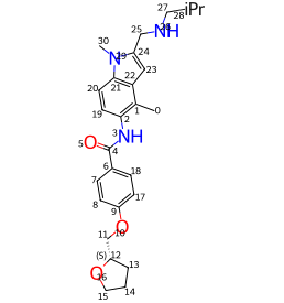 Cc1c(NC(=O)c2ccc(OC[C@@H]3CCCO3)cc2)ccc2c1cc(CNCC(C)C)n2C